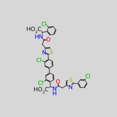 O=C(Cc1csc(-c2cccc(Cl)c2)n1)NC(C(=O)O)c1ccc(-c2ccc(-c3nc(CC(=O)NC(C(=O)O)c4ccccc4Cl)cs3)c(Cl)c2)cc1Cl